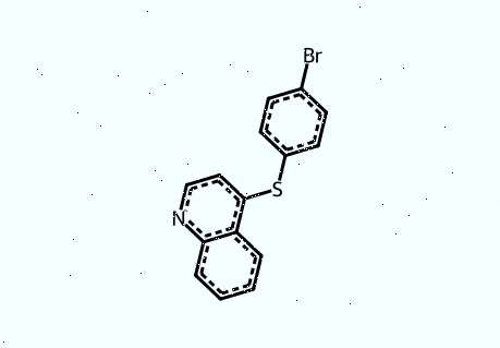 Brc1ccc(Sc2ccnc3ccccc23)cc1